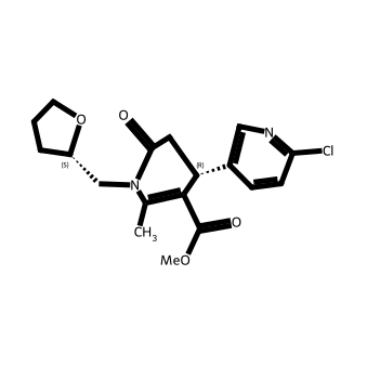 COC(=O)C1=C(C)N(C[C@@H]2CCCO2)C(=O)C[C@@H]1c1ccc(Cl)nc1